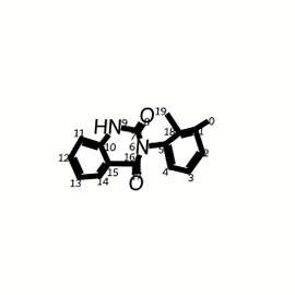 Cc1cccc(-n2c(=O)[nH]c3ccccc3c2=O)c1C